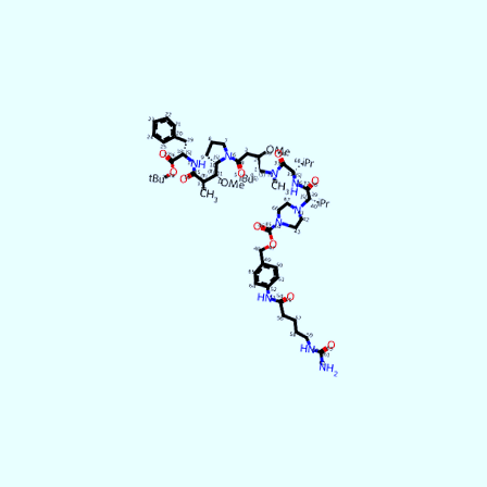 CC[C@H](C)[C@@H](C(CC(=O)N1CCC[C@H]1[C@H](OC)[C@@H](C)C(=O)N[C@@H](Cc1ccccc1)C(=O)OC(C)(C)C)OC)N(C)C(=O)[C@@H](NC(=O)[C@H](C(C)C)N1CCN(C(=O)OCc2ccc(NC(=O)CCCCNC(N)=O)cc2)CC1)C(C)C